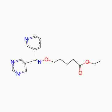 CCOC(=O)CCCCO/N=C(\c1cccnc1)c1cncnc1